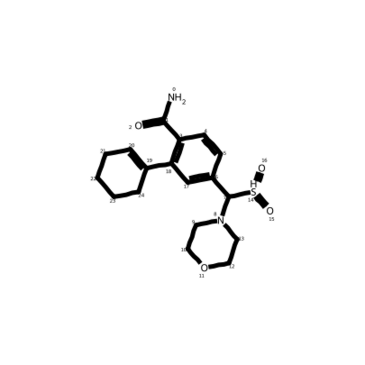 NC(=O)c1ccc(C(N2CCOCC2)[SH](=O)=O)cc1C1=CCCCC1